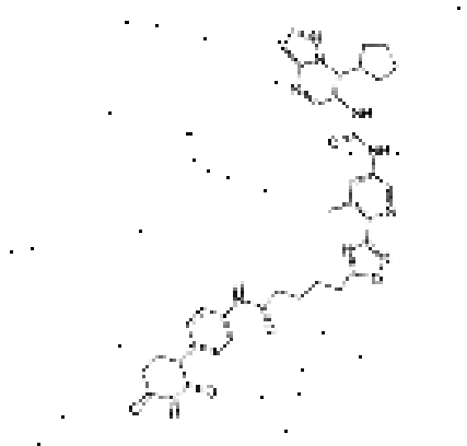 Cc1cc(NC(=O)Nc2cnc3ccnn3c2C2CCCC2)cnc1-c1noc(CCCCC(=O)Nc2ccc(C3CCC(=O)NC3=O)cc2)n1